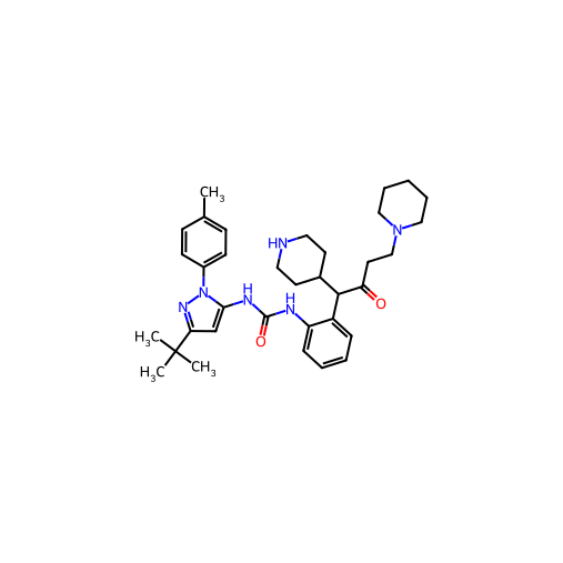 Cc1ccc(-n2nc(C(C)(C)C)cc2NC(=O)Nc2ccccc2C(C(=O)CCN2CCCCC2)C2CCNCC2)cc1